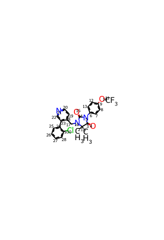 CC1(C)C(=O)N(c2ccc(OC(F)(F)F)cc2)C(=O)N1Cc1ccncc1-c1ccccc1Cl